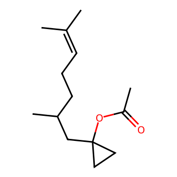 CC(=O)OC1(CC(C)CCC=C(C)C)CC1